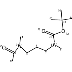 CC(=O)N(C)CCCN(C)C(=O)OC(C)(C)C